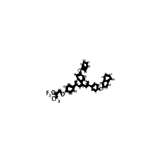 CC(CC(CC(C)c1ccc(Oc2ccc3ccccc3c2)cc1)c1ccc(OC2CC3CCC2C3)cc1)c1ccc(OCC(C(F)(F)F)C(F)(F)F)cc1